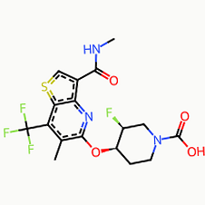 CNC(=O)c1csc2c(C(F)(F)F)c(C)c(O[C@@H]3CCN(C(=O)O)C[C@@H]3F)nc12